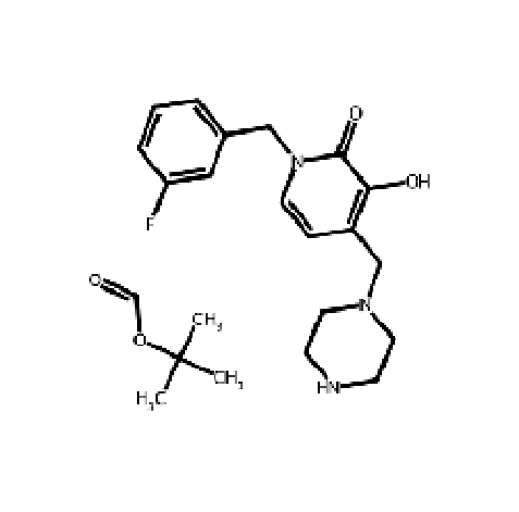 CC(C)(C)OC=O.O=c1c(O)c(CN2CCNCC2)ccn1Cc1cccc(F)c1